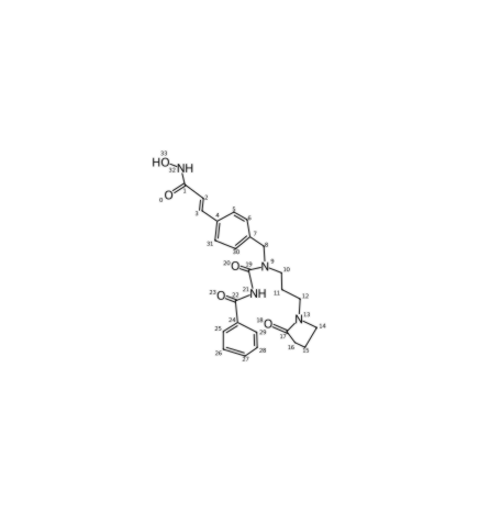 O=C(/C=C/c1ccc(CN(CCCN2CCCC2=O)C(=O)NC(=O)c2ccccc2)cc1)NO